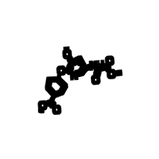 COC(=O)C(=O)Nc1cnc(O[C@H]2CC[C@H](C(=O)OC)CC2)c(OC)c1